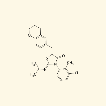 Cc1c(Cl)cccc1N1C(=O)/C(=C/c2ccc3c(c2)CCCO3)S/C1=N\C(C)C